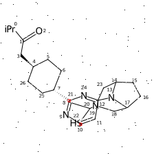 CC(C)C(=O)C[C@H]1CC[C@H](c2nccc(N3C4CCC3CN(C(C)S)C4)n2)CC1